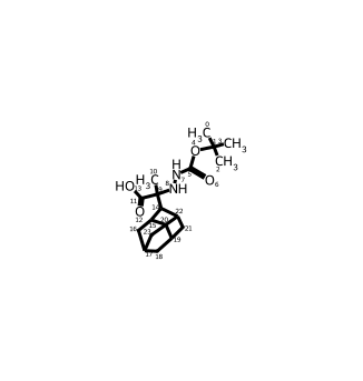 CC(C)(C)OC(=O)NNC(C)(C(=O)O)C1C2CC3CC(C2)CC1C3